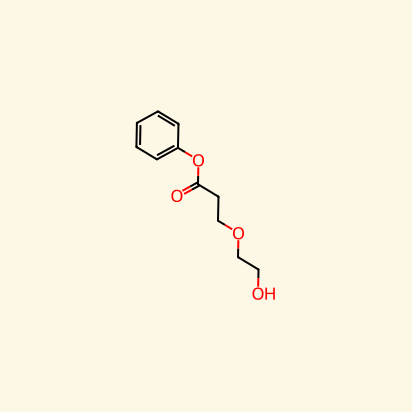 O=C(CCOCCO)Oc1ccccc1